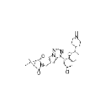 Cc1cc(Cl)cc(-c2ncnn3cc(CN4C(=O)C5C(C4=O)C5(C)C)cc23)c1OC(C)C1CCNCC1